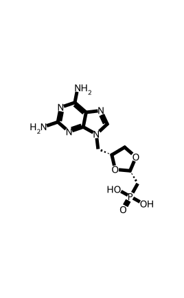 Nc1nc(N)c2ncn(C[C@@H]3CO[C@H](CP(=O)(O)O)O3)c2n1